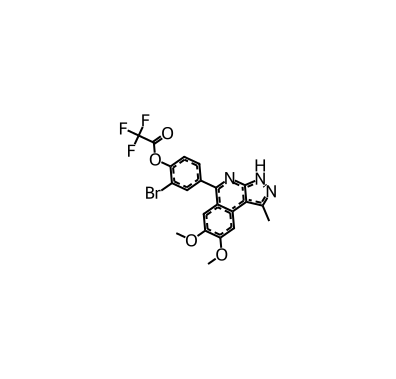 COc1cc2c(-c3ccc(OC(=O)C(F)(F)F)c(Br)c3)nc3[nH]nc(C)c3c2cc1OC